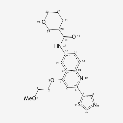 COCCOc1cc(-c2cncs2)nc2ccc(NC(=O)C3CCCOC3)cc12